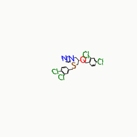 Clc1ccc(COC(CSCc2ccc(Cl)c(Cl)c2)Cn2ccnc2)c(Cl)c1